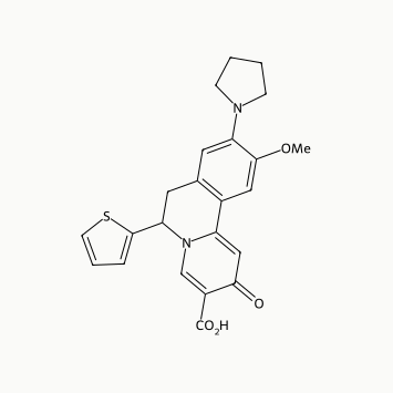 COc1cc2c(cc1N1CCCC1)CC(c1cccs1)n1cc(C(=O)O)c(=O)cc1-2